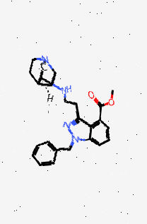 COC(=O)c1cccc2c1c(CCN[C@@H]1CN3CCC1CC3)nn2Cc1ccccc1